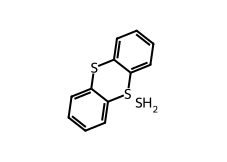 S.c1ccc2c(c1)Sc1ccccc1S2